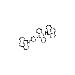 c1ccc2c(-n3c4cccc5ccc6cccc3c6c54)c3ccccc3c(-c3ccc(-n4c5cccc6ccc7cccc4c7c65)cc3)c2c1